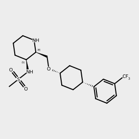 CS(=O)(=O)N[C@H]1CCCN[C@H]1CO[C@H]1CC[C@@H](c2cccc(C(F)(F)F)c2)CC1